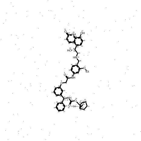 CCOc1cc(NC(=O)COc2cccc([C@@H](NC(=O)O[C@H]3CN4CCC3CC4)c3ccccc3)c2)ccc1CNC[C@H](O)c1ccc(O)c2[nH]c(=O)ccc12